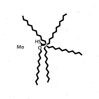 CCCCCCCCCCCOC(S)=S(CCCCCCCCCCC)(CCCCCCCCCCC)(CCCCCCCCCCC)CCCCCCCCCCC.[Mo]